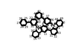 C1=CC2C3=C(C(c4ccc5c(c4)C4C=CCCC4N5c4cccc(-c5ccccc5)c4)CC=C3)N(c3ccc(-c4ccccc4)cc3)C2C=C1